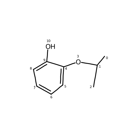 CC(C)Oc1cc[c]cc1O